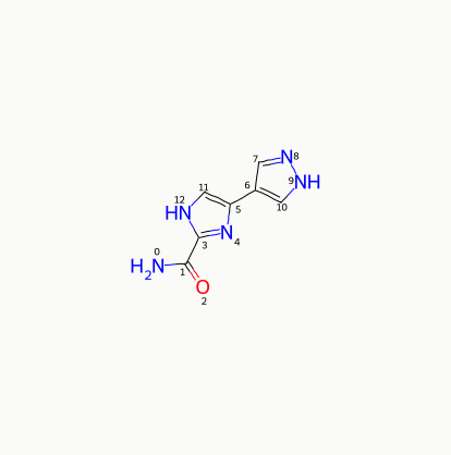 NC(=O)c1nc(-c2cn[nH]c2)c[nH]1